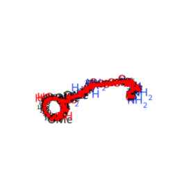 CO[C@H]1C[C@@H]2CC[C@@H](C)[C@@](O)(O2)C(=O)C(=O)N2CCCC[C@H]2C(=O)O[C@H]([C@H](N)C[C@@H]2CC[C@@H](OC(=O)NCc3cnc(N4CCN(c5ncc(C(=O)NCCOCCOCCOCCOCCC(=O)N6CCc7cc(Cn8nc(-c9ccc%10oc(N)nc%10c9)c9c(N)ncnc98)ccc7C6)c(N)n5)CC4)nc3)[C@H](OC)C2)C[C@@H](OC)[C@H](C)/C=C(\C)[C@@H](O)[C@@H](O)C(=O)[C@H](C)C[C@H](C)/C=C/C=C/C=C/1C